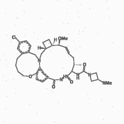 CNC1CN(C(=O)NC2[C@@H](C)C/C=C/[C@H](OC)[C@@H]3CC[C@H]3CN3Cc4ccc(Cl)cc4CCCCOc4ccc(cc43)C(=O)/N=[SH]\2=O)C1